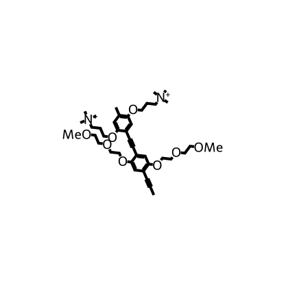 CC#Cc1cc(OCCOCCOC)c(C#Cc2cc(OCCC[N+](C)(C)C)c(C)cc2OCCC[N+](C)(C)C)cc1OCCOCCOC